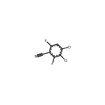 N#Cc1c(F)cc(Cl)c(Cl)c1F